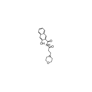 O=C(CCN1CCOCC1)NC(=O)c1cc2ccccc2cc1O